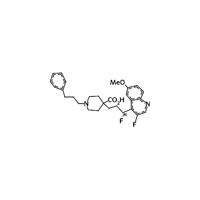 COc1ccc2ncc(F)c([C@H](F)CCC3(C(=O)O)CCN(CCCc4ccccc4)CC3)c2c1